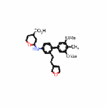 COc1cc(-c2ccc(NC3CC(C(=O)O)CCO3)cc2CCC2CCOC2)cc(OC)c1C